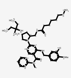 COc1ccc(CNc2nc(N3CCCC3COC(=O)CCCCCO[N+](=O)[O-])ncc2C(=O)N(C)c2ncccn2)cc1Cl.O=C(O)CC(O)(CC(=O)O)C(=O)O